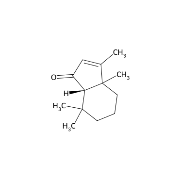 CC1=CC(=O)[C@H]2C(C)(C)CCCC12C